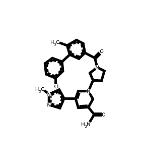 Cc1ccc(C(=O)N2CCC(N3C=C(c4cnn(C)c4)C=C(C(N)=O)C3)C2)cc1-c1cccc(Cl)c1